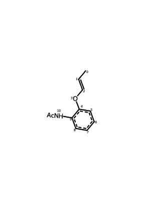 CC=COc1ccccc1NC(C)=O